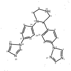 c1ncn(-c2ccc(C3CNCCN3c3ccc(-n4cncn4)cc3)cc2)n1